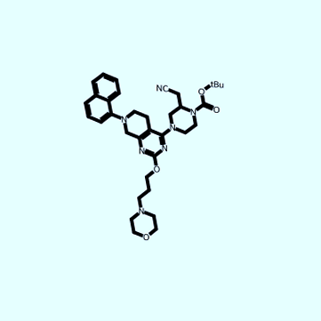 CC(C)(C)OC(=O)N1CCN(c2nc(OCCCN3CCOCC3)nc3c2CCN(c2cccc4ccccc24)C3)CC1CC#N